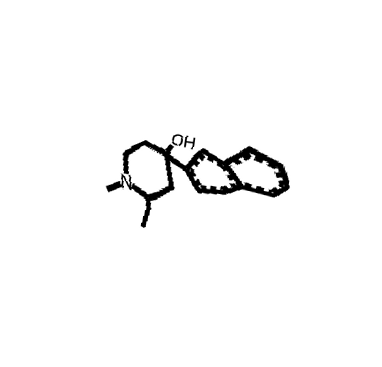 CC1CC(O)(c2ccc3ccccc3c2)CCN1C